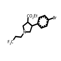 CCOC(=O)C1CN(CCC(F)(F)F)CC1c1ccc(Br)cc1